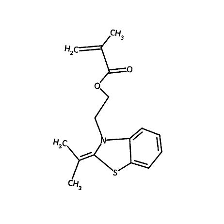 C=C(C)C(=O)OCCN1C(=C(C)C)Sc2ccccc21